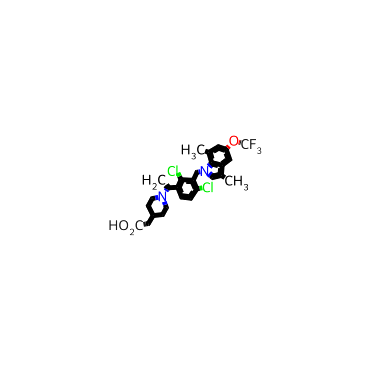 C=C(c1ccc(Cl)c(Cn2cc(C)c3cc(OC(F)(F)F)cc(C)c32)c1Cl)N1CCC(CC(=O)O)CC1